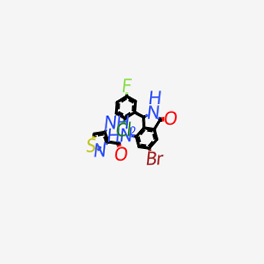 Nc1csnc1C(=O)Nc1cc(Br)cc2c1C(c1cc(F)ccc1Cl)NC2=O